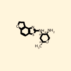 C[C@@H]1C[C@@H](Nc2nc3c4c(ccc3s2)OCC4)[C@@H](N)CO1